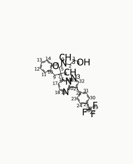 CN(CCO)C(=O)C(C)(Cc1ccccc1)c1ccnc2c(-c3ccc(C(F)(F)F)cc3)cnn12